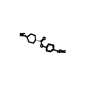 CCCCCCCCCCc1ccc(OC(=O)[C@H]2CC[C@H](C#N)CC2)cc1